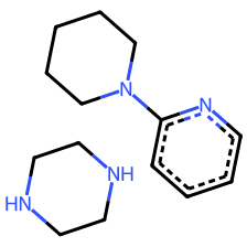 C1CNCCN1.c1ccc(N2CCCCC2)nc1